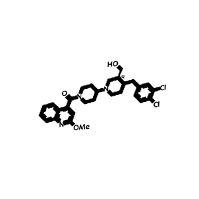 COc1cc(C(=O)N2CCC(N3CCC(Cc4ccc(Cl)c(Cl)c4)[C@H](CO)C3)CC2)c2ccccc2n1